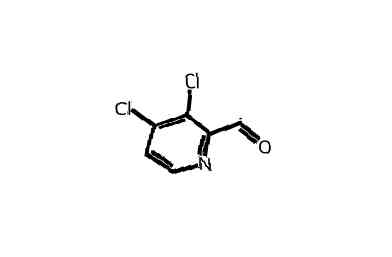 O=[C]c1nccc(Cl)c1Cl